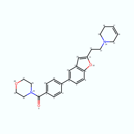 O=C(c1ccc(-c2ccc3oc(CCN4CC=CCC4)cc3c2)cc1)N1CCOCC1